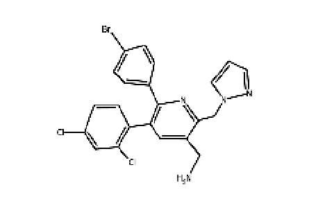 NCc1cc(-c2ccc(Cl)cc2Cl)c(-c2ccc(Br)cc2)nc1Cn1cccn1